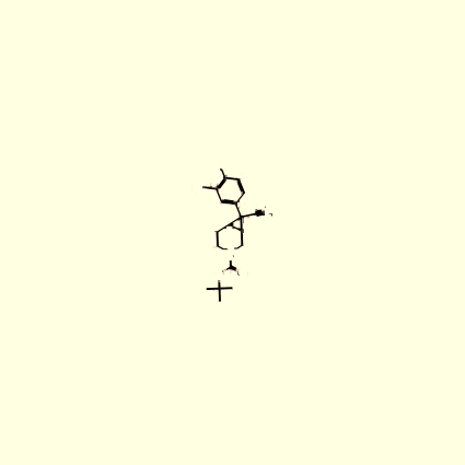 CC(C)(C)OC(=O)N1CCC2C(C1)C2(C#N)c1ccc(Cl)c(Cl)c1